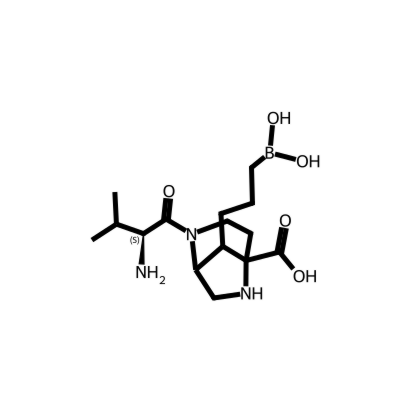 CC(C)[C@H](N)C(=O)N1CCC2(C(=O)O)NCC1C2CCCB(O)O